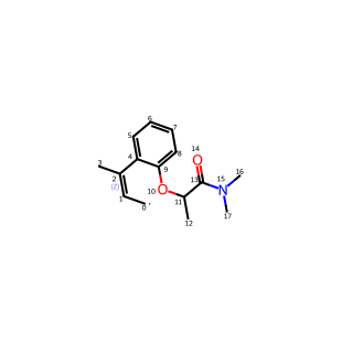 [CH2]/C=C(/C)c1ccccc1OC(C)C(=O)N(C)C